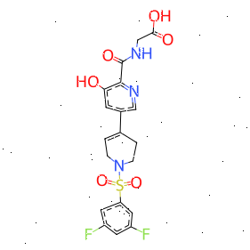 O=C(O)CNC(=O)c1ncc(C2=CCN(S(=O)(=O)c3cc(F)cc(F)c3)CC2)cc1O